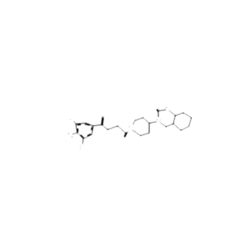 Nc1c(Br)cc(C(=O)CCC(=O)N2CCC(N3CC4CCCCC4NC3=O)CC2)cc1Br